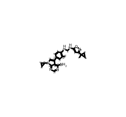 CC1(c2cc(NCNc3ccc(-c4cn(C5CC5)c5ncnc(N)c45)cc3F)on2)CC1